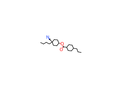 CCCCC1(C#N)CCC(OC(=O)C2CCC(CCC)CC2)CC1